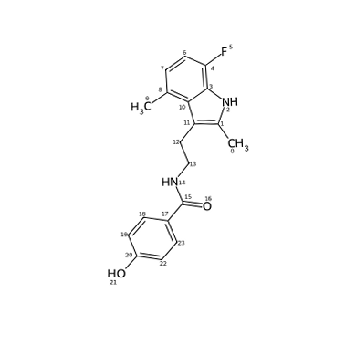 Cc1[nH]c2c(F)ccc(C)c2c1CCNC(=O)c1ccc(O)cc1